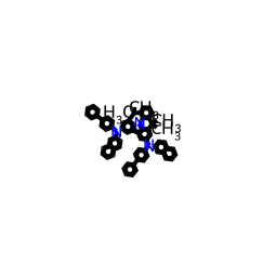 CC1(C)c2cccc3c2-n2c4c1cc(N(c1ccc(-c5ccccc5)cc1)c1ccc5ccccc5c1)cc4c1cc(N(c4ccc(-c5ccccc5)cc4)c4ccc5ccccc5c4)cc(c12)C3(C)C